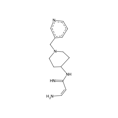 N=C(/C=C\N)NC1CCN(Cc2cccnc2)CC1